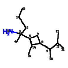 CCCC(C)(N)C1CC(C(C)C(C)C)C1C